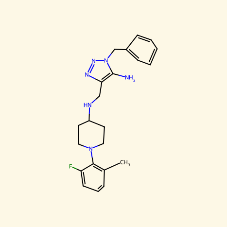 Cc1cccc(F)c1N1CCC(NCc2nnn(Cc3ccccc3)c2N)CC1